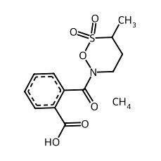 C.CC1CCN(C(=O)c2ccccc2C(=O)O)OS1(=O)=O